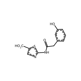 O=C(Cc1cccc(O)c1)Nc1ncc(C(=O)O)s1